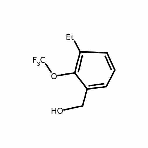 CCc1cccc(CO)c1OC(F)(F)F